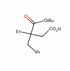 CCC(CC(=O)O)(CC(C)C)C(=O)OCC(C)C